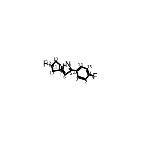 Fc1ccc(-c2cc3n(n2)C[C@@H](F)C3)cc1